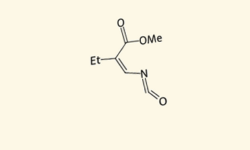 CCC(=CN=C=O)C(=O)OC